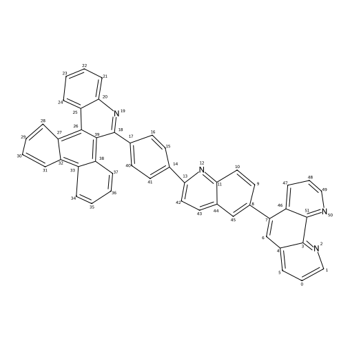 c1cnc2c(c1)cc(-c1ccc3nc(-c4ccc(-c5nc6ccccc6c6c7ccccc7c7ccccc7c56)cc4)ccc3c1)c1cccnc12